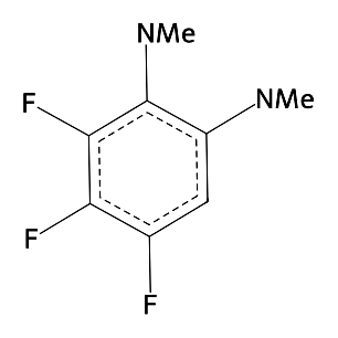 CNc1cc(F)c(F)c(F)c1NC